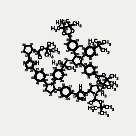 CC(C)(C)OC(=O)N1CCCC1c1ncc(-c2ccc(C3CCC(c4ccc(-c5cnc(C6CCCN6C(=O)OC(C)(C)C)[nH]5)cc4)N3c3ccc(C(C)(C)CC4CC(c5ccc(B6OC(C)(C)C(C)(C)O6)cc5)N(c5ccc(C(C)(C)C)cc5)C4c4ccc(B5OC(C)(C)C(C)(C)O5)cc4)cc3)cc2)[nH]1